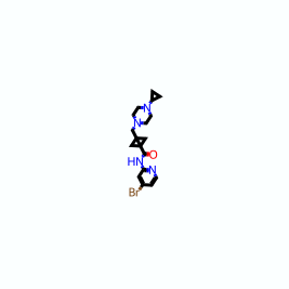 O=C(Nc1cc(Br)ccn1)C12CC1(CN1CCN(C3CC3)CC1)C2